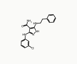 NC(=O)c1c(Nc2cccc(Cl)c2)n[nH]c1NCCc1ccccc1